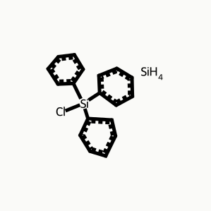 Cl[Si](c1ccccc1)(c1ccccc1)c1ccccc1.[SiH4]